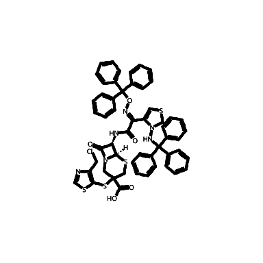 O=C(N[C@@H]1C(=O)N2CC(Sc3scnc3CCl)(C(=O)O)CS[C@H]12)C(=NOC(c1ccccc1)(c1ccccc1)c1ccccc1)C1=CSCN1NC(c1ccccc1)(c1ccccc1)c1ccccc1